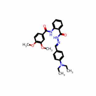 CCN(CC)c1ccc(C=NNC(=O)c2ccccc2NC(=O)c2ccc(OC)c(OC)c2)cc1